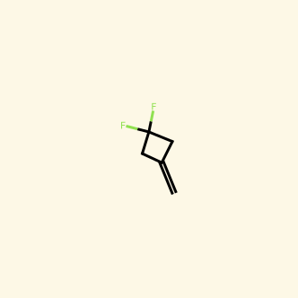 C=C1CC(F)(F)C1